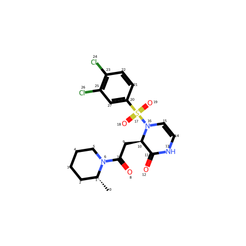 C[C@@H]1CCCCN1C(=O)C[C@@H]1C(=O)NC=CN1S(=O)(=O)c1ccc(Cl)c(Cl)c1